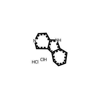 Cl.Cl.c1ccc2c(c1)[nH]c1ccncc12